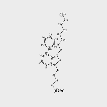 CCCCCCCCCCCCCCCCCCCCCCCCCl.c1ccc(-c2ccccc2)cc1